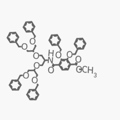 COC(=O)c1ccc(C(=O)NC(COC(COCc2ccccc2)COCc2ccccc2)COC(COCc2ccccc2)COCc2ccccc2)c(OCc2ccccc2)c1OCc1ccccc1